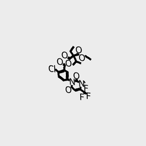 CCOC(=O)C(CC)(C(=O)OC(=O)c1cc(-n2c(=O)cc(C(F)(F)F)n(C)c2=O)ccc1Cl)C(C)C